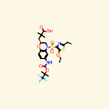 CCOc1sc(CC)nc1S(=O)(=O)N1C[C@H](CC(C)(C)C(=O)O)Oc2ccc(NC(=O)OC(C)(C)C(F)(F)F)cc21